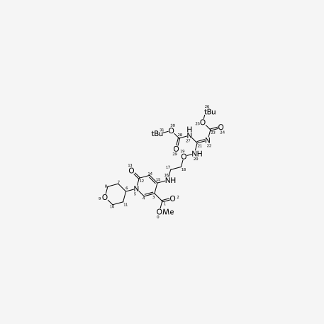 COC(=O)c1cn(C2CCOCC2)c(=O)cc1NCCONC(=NC(=O)OC(C)(C)C)NC(=O)OC(C)(C)C